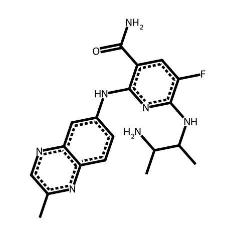 Cc1cnc2cc(Nc3nc(NC(C)C(C)N)c(F)cc3C(N)=O)ccc2n1